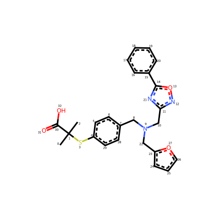 CC(C)(Sc1ccc(CN(Cc2noc(-c3ccccc3)n2)Cc2ccco2)cc1)C(=O)O